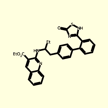 CCOC(=O)c1cc2ccccc2nc1NC(CC)Cc1ccc(-c2ccccc2-c2nc(=O)s[nH]2)cc1